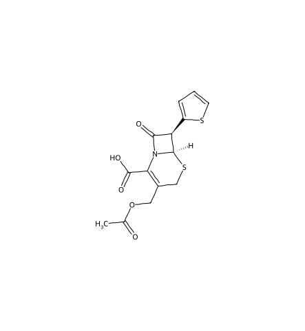 CC(=O)OCC1=C(C(=O)O)N2C(=O)[C@@H](c3cccs3)[C@H]2SC1